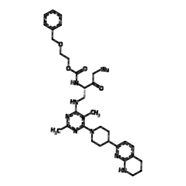 Cc1nc(NC[C@H](NC(=O)OCCOCc2ccccc2)C(=O)CC(C)(C)C)c(C)c(N2CCC(c3ccc4c(n3)NCCC4)CC2)n1